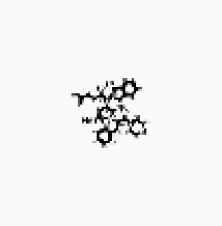 CC(C)CCC(=O)N(C(CC(=O)O)C(=O)NC(Cc1ccccc1)C(=O)N1CCOCC1)N1Cc2ccccc2C1=O